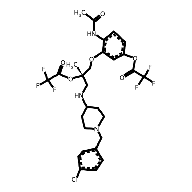 CC(=O)Nc1ccc(OC(=O)C(F)(F)F)cc1OC[C@](C)(CNC1CCN(Cc2ccc(Cl)cc2)CC1)OC(=O)C(F)(F)F